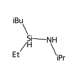 CCC(C)[SiH](CC)NC(C)C